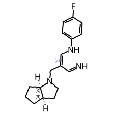 N=C/C(=C\Nc1ccc(F)cc1)CN1CC[C@H]2CCC[C@H]21